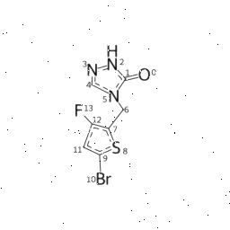 O=c1[nH]ncn1Cc1sc(Br)cc1F